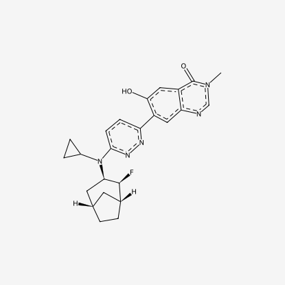 Cn1cnc2cc(-c3ccc(N(C4CC4)[C@@H]4C[C@H]5CC[C@H](C5)[C@@H]4F)nn3)c(O)cc2c1=O